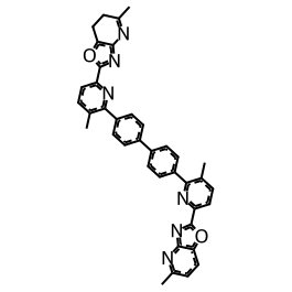 CC1=Nc2nc(-c3ccc(C)c(-c4ccc(-c5ccc(-c6nc(-c7nc8nc(C)ccc8o7)ccc6C)cc5)cc4)n3)oc2CC1